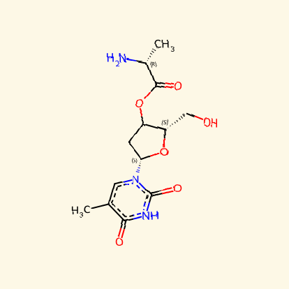 Cc1cn([C@@H]2CC(OC(=O)[C@@H](C)N)[C@H](CO)O2)c(=O)[nH]c1=O